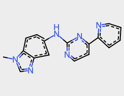 Cn1cnc2cc(Nc3nccc(-c4ccccn4)n3)ccc21